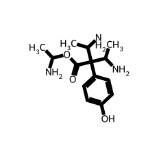 CC(N)OC(=O)C(c1ccc(O)cc1)(C(C)N)C(C)N